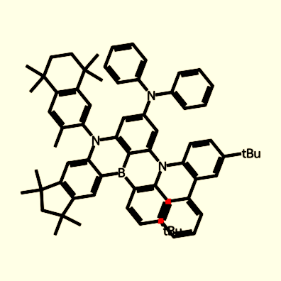 Cc1cc2c(cc1N1c3cc4c(cc3B3c5ccc(C(C)(C)C)cc5N(c5ccc(C(C)(C)C)cc5-c5ccccc5)c5cc(N(c6ccccc6)c6ccccc6)cc1c53)C(C)(C)CC4(C)C)C(C)(C)CCC2(C)C